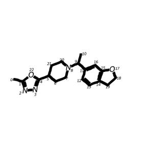 Cc1nnc(C2CCN(C(C)c3ccc4c(c3)OCC4)CC2)o1